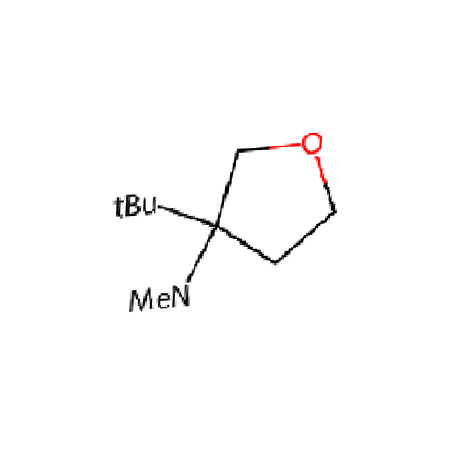 CNC1(C(C)(C)C)CCOC1